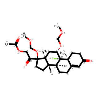 COCO[C@H]1C[C@@]2(C)[C@@H](CC[C@]2(OCOC)C(=O)COC(C)=O)[C@@H]2CCC3=CC(=O)CC[C@]3(C)[C@@]12F